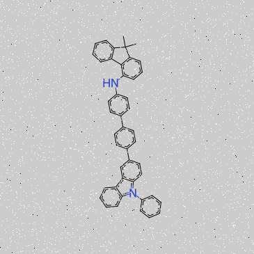 CC1(C)c2ccccc2-c2c(Nc3ccc(-c4ccc(-c5ccc6c(c5)c5ccccc5n6-c5ccccc5)cc4)cc3)cccc21